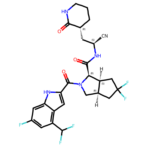 N#C[C@H](C[C@H]1CCCNC1=O)NC(=O)[C@H]1[C@H]2CC(F)(F)C[C@H]2CN1C(=O)c1cc2c(C(F)F)cc(F)cc2[nH]1